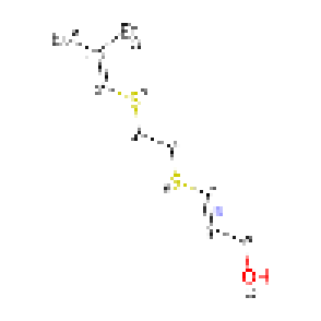 CCC(=CSCCS/C=C/CO)CC